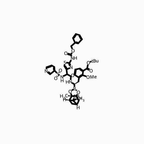 COc1c(C[C@H](NC(=O)C(NS(=O)(=O)c2cccnc2)c2csc(NC(=O)OCc3ccccc3)n2)B2OC3C[C@H]4C[C@@H](C4(C)C)[C@]3(C)O2)cccc1C(=O)OC(C)(C)C